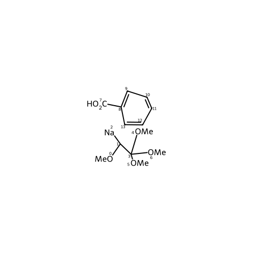 CO[CH]([Na])C(OC)(OC)OC.O=C(O)c1ccccc1